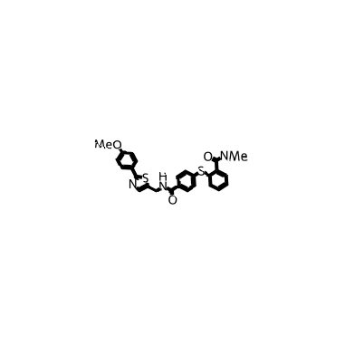 CNC(=O)C1=CC=CCC1Sc1ccc(C(=O)NCc2cnc(-c3ccc(OC)cc3)s2)cc1